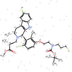 COC(=O)[C@H](C)CN1[C@H](c2c(F)ccc(OCCN(CCCF)C(=O)OC(C)(C)C)c2C)c2[nH]c3ccc(F)cc3c2C[C@H]1C